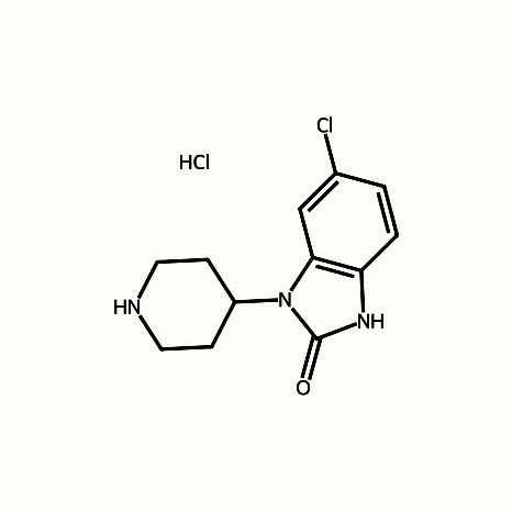 Cl.O=c1[nH]c2ccc(Cl)cc2n1C1CCNCC1